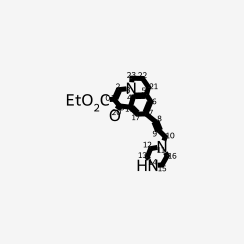 CCOC(=O)c1cn2c3c(cc(C#CCN4CCNCC4)cc3c1=O)CCC2